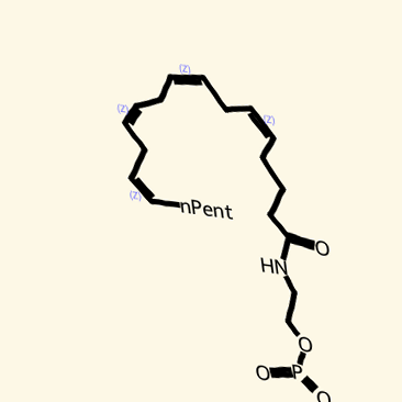 CCCCC/C=C\C/C=C\C/C=C\C/C=C\CCCC(=O)NCCOP(=O)=O